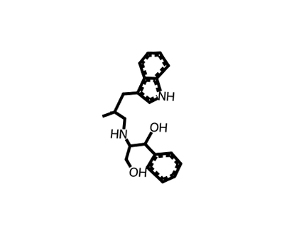 C[C](CNC(CO)C(O)c1ccccc1)Cc1c[nH]c2ccccc12